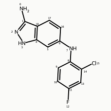 Nc1n[nH]c2cc(Nc3ccc(F)cc3Cl)ccc12